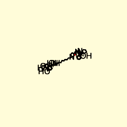 O=c1ccc2c([C@@H](O)CNCCCCCCCCCN3CCC(Cn4cnc([C@](O)(c5ccccc5)C5CCCCC5)n4)CC3)ccc(O)c2[nH]1